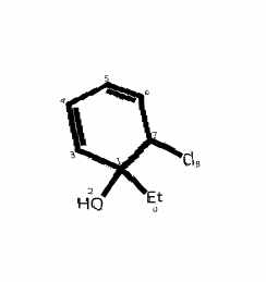 CCC1(O)C=CC=CC1Cl